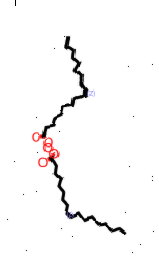 CCCCCCCC/C=C\CCCCCCCC(=O)OOOC(=O)CCCCCCC/C=C\CCCCCCCC